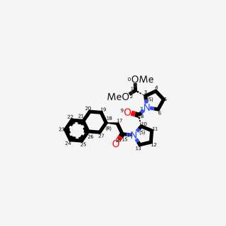 COC(OC)[C@@H]1CCCN1C(=O)[C@@H]1CCCN1C(=O)C[C@@H]1CCc2ccccc2C1